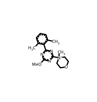 COc1nc(-c2c(C)cccc2C)nc([N+]2(C)CCOCC2)n1